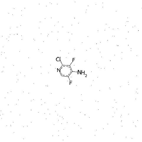 Nc1c(F)cnc(Cl)c1F